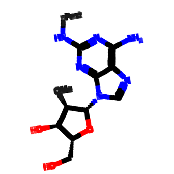 CCCCCNc1nc(N)c2ncn([C@@H]3O[C@H](CO)[C@@H](O)[C@H]3OC)c2n1